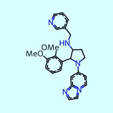 COc1cccc(C2C(NCc3cccnc3)CCN2c2ccn3ccnc3c2)c1OC